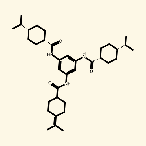 CC(C)=C1CCC(C(=O)Nc2cc(NC(=O)[C@H]3CC[C@@H](C(C)C)CC3)cc(NC(=O)[C@H]3CC[C@@H](C(C)C)CC3)c2)CC1